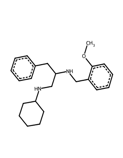 COc1ccccc1CNC(CNC1CCCCC1)Cc1ccccc1